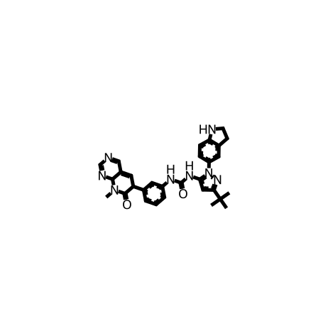 CN1C(=O)C(c2cccc(NC(=O)Nc3cc(C(C)(C)C)nn3-c3ccc4c(c3)CCN4)c2)C=C2C=NC=NC21